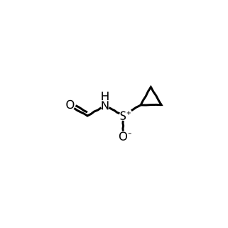 O=CN[S+]([O-])C1CC1